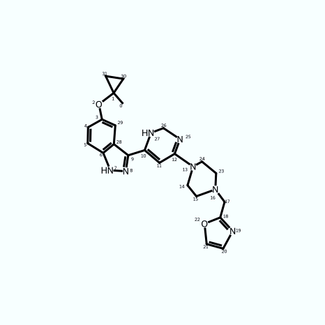 CC1(Oc2ccc3[nH]nc(C4=CC(N5CCN(Cc6ncco6)CC5)=NCN4)c3c2)CC1